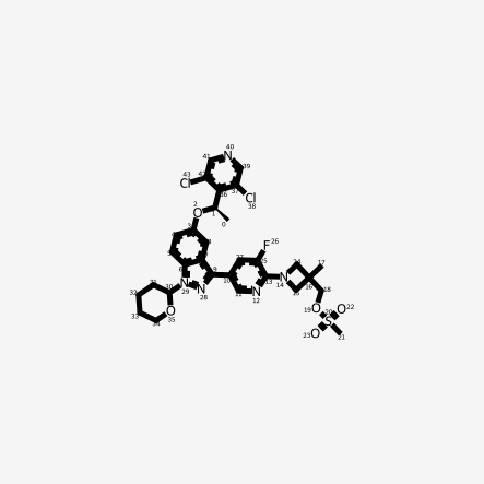 C[C@@H](Oc1ccc2c(c1)c(-c1cnc(N3CC(C)(COS(C)(=O)=O)C3)c(F)c1)nn2C1CCCCO1)c1c(Cl)cncc1Cl